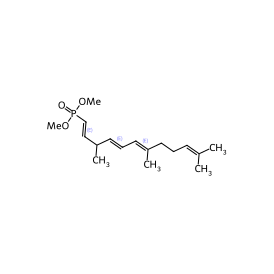 COP(=O)(/C=C/C(C)/C=C/C=C(\C)CCC=C(C)C)OC